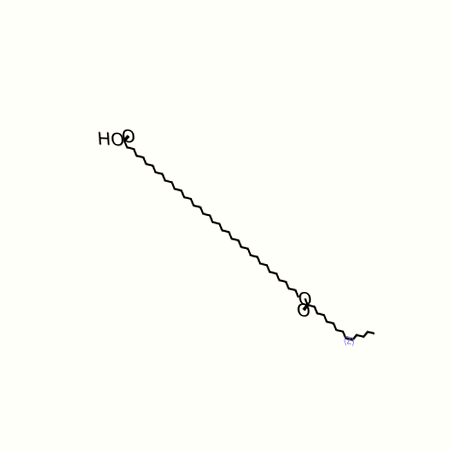 CCCC/C=C\CCCCCCCC(=O)OCCCCCCCCCCCCCCCCCCCCCCCCCCCCCCCCCCCCCC(=O)O